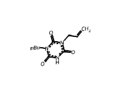 C=CCn1c(=O)[nH]c(=O)n(CCCC)c1=O